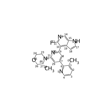 Cc1cccnc1-c1cc(-c2c(F)ncc3[nH]ccc23)nc(N2CCOC[C@H]2C)c1